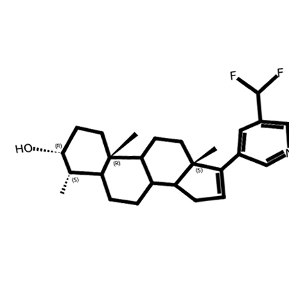 C[C@H]1C2CCC3C(CC[C@]4(C)C(c5cncc(C(F)F)c5)=CCC34)[C@@]2(C)CC[C@H]1O